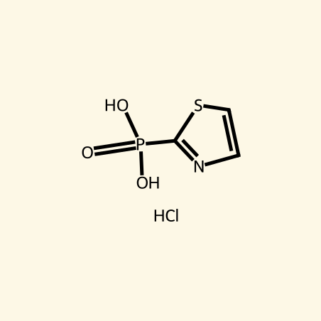 Cl.O=P(O)(O)c1nccs1